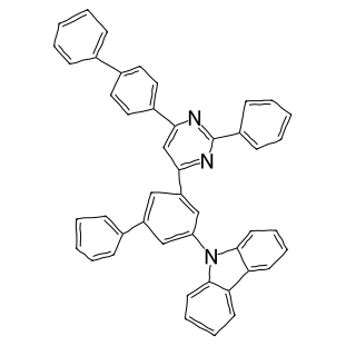 c1ccc(-c2ccc(-c3cc(-c4cc(-c5ccccc5)cc(-n5c6ccccc6c6ccccc65)c4)nc(-c4ccccc4)n3)cc2)cc1